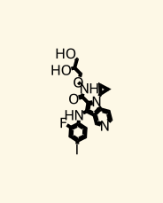 O=C(NOCC(O)CO)c1c(Nc2ccc(I)cc2F)c2cnccc2n1C1CC1